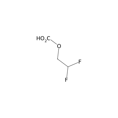 O=C(O)OCC(F)F